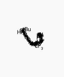 Cc1ccc(C(=O)Nc2ccc(CN3CCN(CCCOCCOCCOCCNC(=O)OC(C)(C)C)CC3)c(C(F)(F)F)c2)cc1C#Cc1cnc2cccnn12